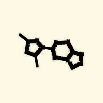 Cc1cc(C)n(-c2nnc3nncn3n2)n1